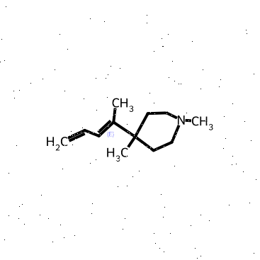 C=C/C=C(\C)C1(C)CCN(C)CC1